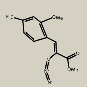 COC(=O)C(=Cc1ccc(C(F)(F)F)cc1OC)N=[N+]=[N-]